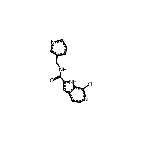 O=C(NCc1cccnc1)c1cc2ccnc(Cl)c2[nH]1